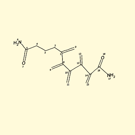 C=C(CCCC(N)=O)C(=C)C(=C)C(=C)C(=C)C(N)=O